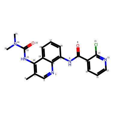 Cc1cnc2c(NC(=O)c3cccnc3Cl)cccc2c1NC(=O)N(C)C